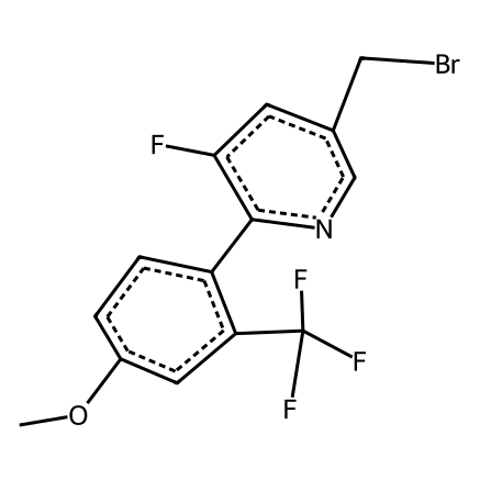 COc1ccc(-c2ncc(CBr)cc2F)c(C(F)(F)F)c1